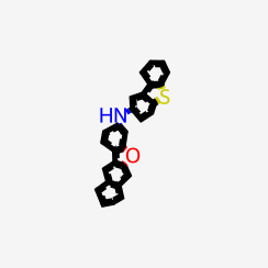 c1ccc2cc3c(cc2c1)oc1cc(Nc2ccc4sc5ccccc5c4c2)ccc13